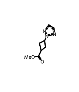 COC(=O)C1CC(n2nccn2)C1